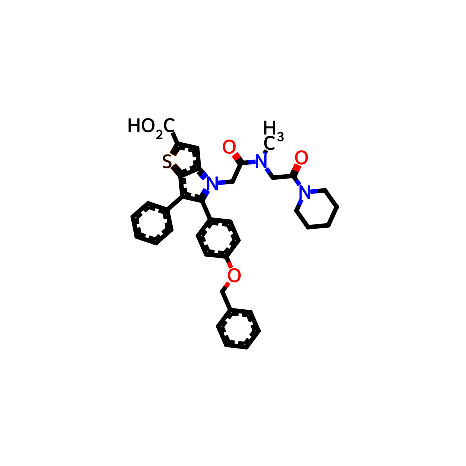 CN(CC(=O)N1CCCCC1)C(=O)Cn1c(-c2ccc(OCc3ccccc3)cc2)c(-c2ccccc2)c2sc(C(=O)O)cc21